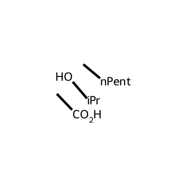 CC(=O)O.CC(C)O.CCCCCC